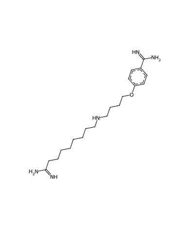 N=C(N)CCCCCCCCNCCCCOc1ccc(C(=N)N)cc1